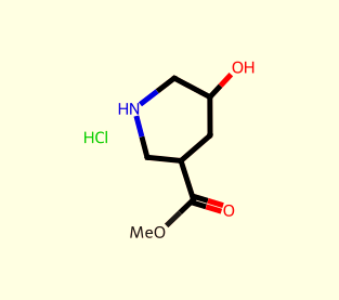 COC(=O)C1CNCC(O)C1.Cl